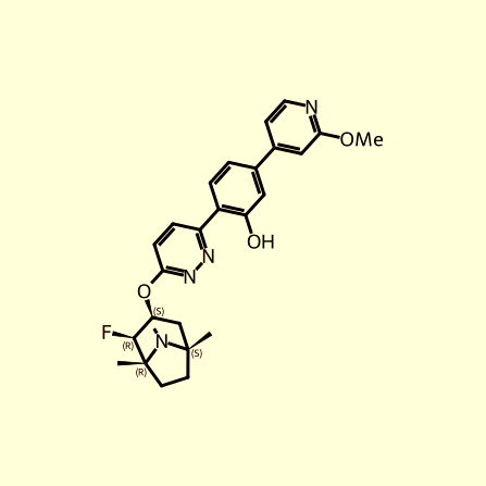 COc1cc(-c2ccc(-c3ccc(O[C@H]4C[C@]5(C)CC[C@](C)([C@H]4F)N5C)nn3)c(O)c2)ccn1